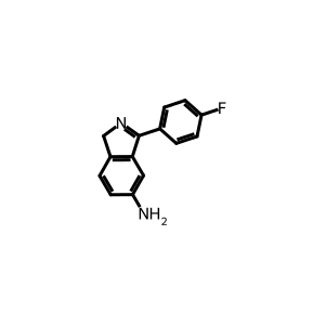 Nc1ccc2c(c1)C(c1ccc(F)cc1)=NC2